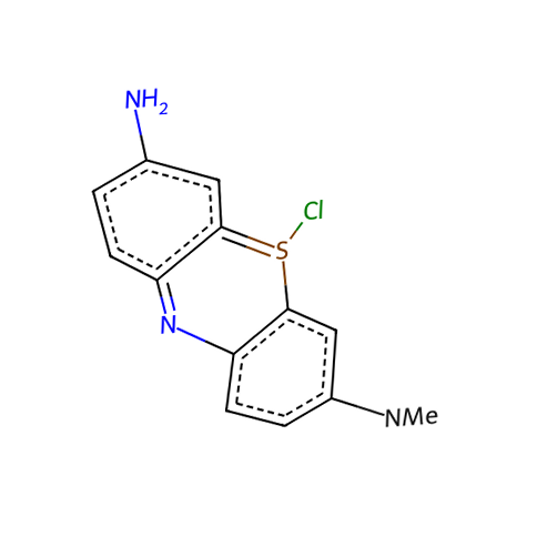 CNc1ccc2c(c1)S(Cl)=c1cc(N)ccc1=N2